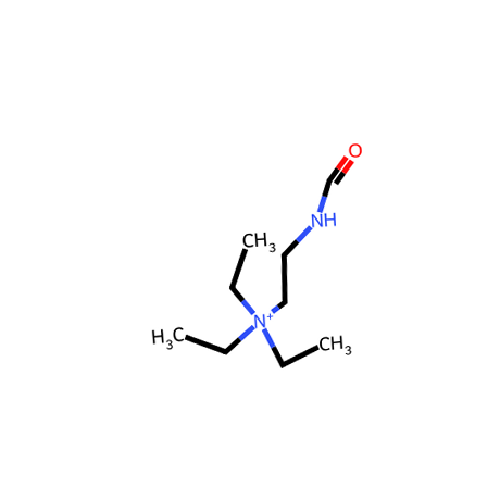 CC[N+](CC)(CC)CCNC=O